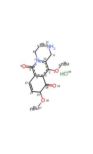 CCCCOc1c2c(c(=O)n(CC(C)(C)C)c1CN)C=CC(OCCCC)C2=O.Cl